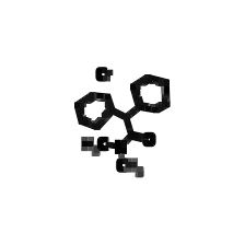 CN(C)C(=O)C(c1ccccc1)c1ccccc1.[Cr]